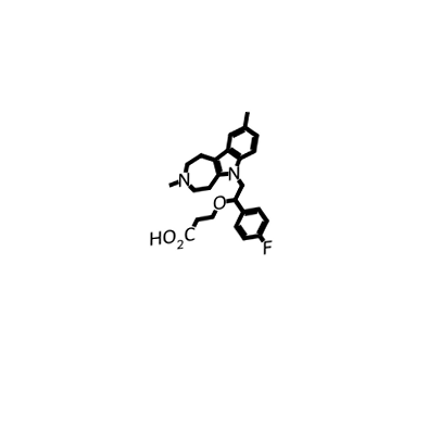 Cc1ccc2c(c1)c1c(n2CC(OCCC(=O)O)c2ccc(F)cc2)CCN(C)CC1